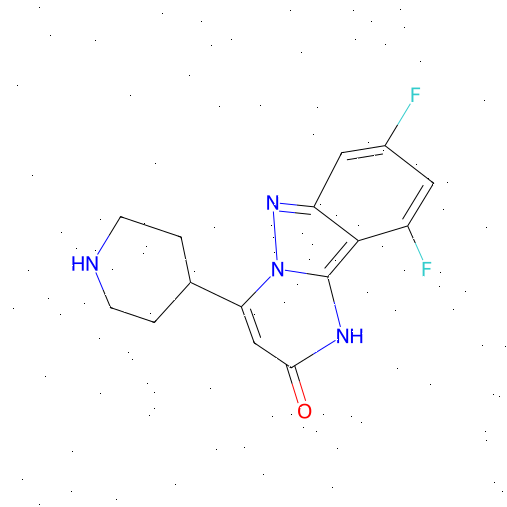 O=c1cc(C2CCNCC2)n2nc3cc(F)cc(F)c3c2[nH]1